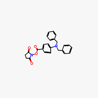 O=C(ON1C(=O)CCC1=O)c1ccc(N(Cc2ccccc2)Cc2ccccc2)cc1